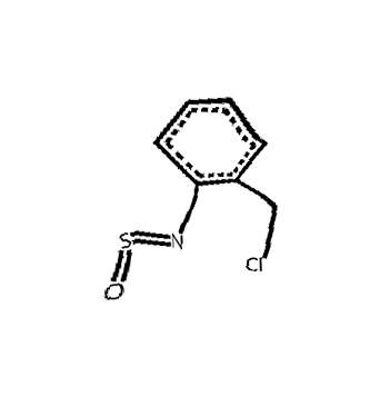 O=S=Nc1ccccc1CCl